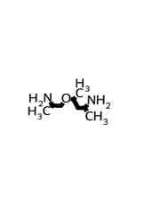 CC(N)COC(C)CC(C)N